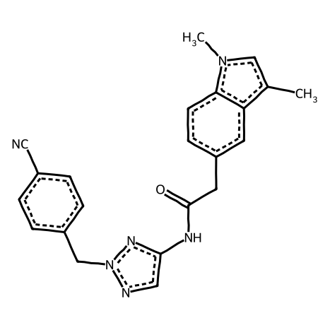 Cc1cn(C)c2ccc(CC(=O)Nc3cnn(Cc4ccc(C#N)cc4)n3)cc12